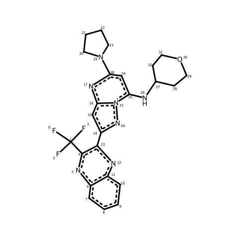 FC(F)(F)c1nc2ccccc2nc1-c1cc2nc(N3CCCC3)cc(NC3CCOCC3)n2n1